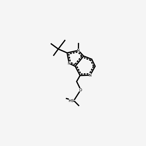 Cn1c(C(C)(C)C)nc2c(CO[SiH](C)C)nccc21